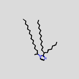 CCCCCCCCCCCCCCC(C)n1ccnc1C(CCCCCC)CCCCCCCCCCCC